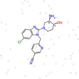 N#Cc1ccc(Cn2c(N3CC[C@H](O)[C@H](N)C3)nc3ccc(Cl)cc32)nc1